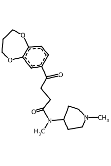 CN1CCC(N(C)C(=O)CCC(=O)c2ccc3c(c2)OCCCO3)CC1